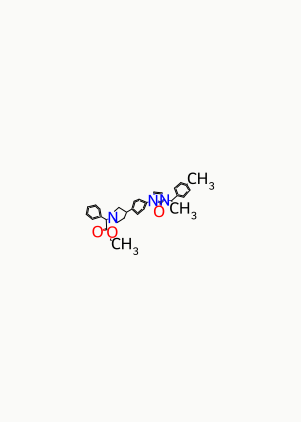 CCOC(=O)C(c1ccccc1)N1CCC(c2ccc(-n3ccn([C@@H](C)c4ccc(C)cc4)c3=O)cc2)CC1